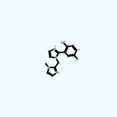 Cn1ccnc1Cn1ccnc1-c1cc(F)ccc1Cl